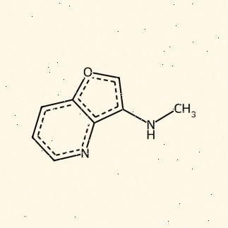 CNc1coc2cccnc12